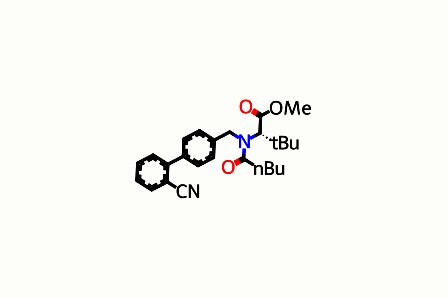 CCCCC(=O)N(Cc1ccc(-c2ccccc2C#N)cc1)[C@H](C(=O)OC)C(C)(C)C